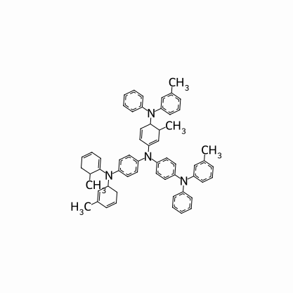 CC1=CC(N(C2=CC=CCC2C)c2ccc(N(C3=CC(C)C(N(c4ccccc4)c4cccc(C)c4)C=C3)c3ccc(N(c4ccccc4)c4cccc(C)c4)cc3)cc2)CC=C1